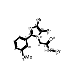 COc1cccc(-c2nc(Br)c(Br)n2CC(=O)NC(C)C)c1